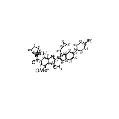 COc1cc(C(=O)N2CC3CCC2[C@@H]3C)cc2nc(-c3cc4ccc(C5CCN(C(C)=O)CC5)cc4n3CC3CC3)n(C)c12